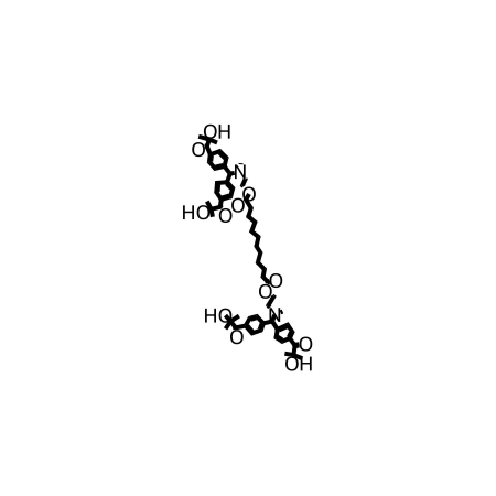 CN(CCOC(=O)CCCCCCCCCCC(=O)OCCN(C)C(c1ccc(C(=O)C(C)(C)O)cc1)c1ccc(C(=O)C(C)(C)O)cc1)C(c1ccc(C(=O)C(C)(C)O)cc1)c1ccc(C(=O)C(C)(C)O)cc1